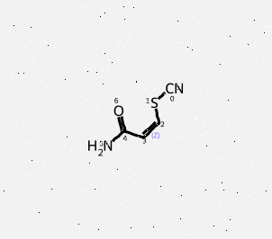 N#CS/C=C\C(N)=O